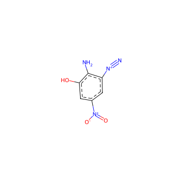 N#[N+]c1cc([N+](=O)[O-])cc(O)c1N